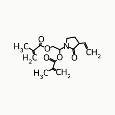 C=CC1CCN(C(COC(=O)C(=C)C)OC(=O)C(=C)C)C1=O